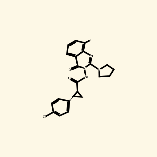 O=C(Nn1c(N2CCCC2)nc2c(F)cccc2c1=O)C1C[C@@H]1c1ccc(Cl)cc1